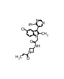 C=CC(=O)N1CC(NC(=O)Cn2c(C)c(-c3cncnc3C(C)C)c3cc(Cl)ccc32)C1